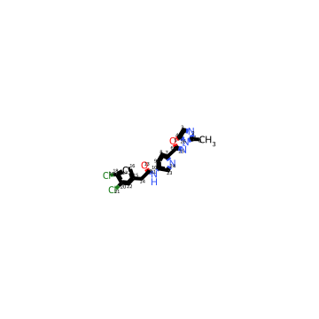 Cc1ncc2oc(-c3ccc(NC(=O)Cc4ccc(Cl)c(Cl)c4)cn3)nn12